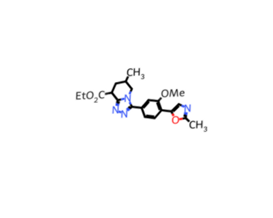 CCOC(=O)C1CC(C)Cn2c(-c3ccc(-c4cnc(C)o4)c(OC)c3)nnc21